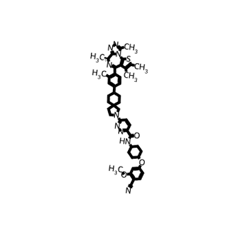 COc1cc(OC2CCC(NC(=O)c3ccc(N4CCC5(CCC(c6ccc(C7=N[C@@H](C)c8nnc(C)n8-c8sc(C)c(C)c87)c(C)c6)CC5)C4)nn3)CC2)ccc1C#N